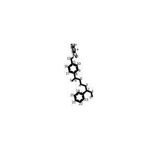 CCC(CCCC(C)c1ccc(CN=[N+]=[N-])cc1)c1ccccc1